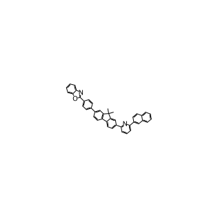 CC1(C)c2cc(-c3ccc(-c4nc5ccccc5o4)cc3)ccc2-c2ccc(-c3cccc(-c4ccc5ccccc5c4)n3)cc21